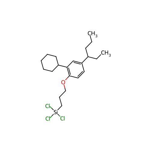 CCCC(CC)c1ccc(OCCC[Si](Cl)(Cl)Cl)c(C2CCCCC2)c1